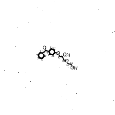 O=C(c1ccccc1)c1ccc(OCC(O)COCCO)cc1